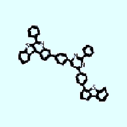 c1ccc(-c2nc(-c3ccc(-c4ccc5c(c4)nc(-c4ccccc4)c4sc6ccccc6c45)cc3)cc(-c3ccc(-c4cccc5c4sc4ccccc45)cc3)n2)cc1